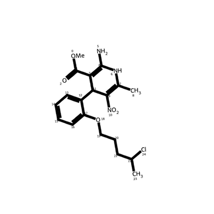 COC(=O)C1=C(N)NC(C)=C([N+](=O)[O-])C1c1ccccc1OCCCC(C)Cl